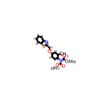 CCCOC(=O)N(C(=O)OC)c1ccc(OCc2nc3ccccc3s2)cc1C